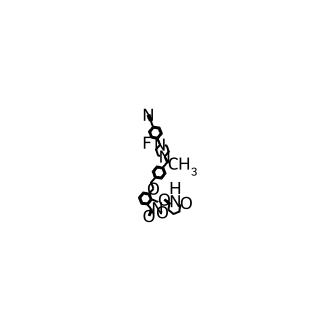 C[C@H](c1ccc(COc2cccc3c2CN(OC2CCC(=O)NC2=O)C3=O)cc1)N1CCN(c2ccc(C#N)cc2F)CC1